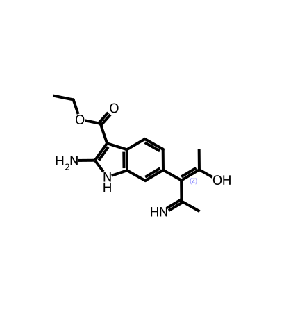 CCOC(=O)c1c(N)[nH]c2cc(/C(C(C)=N)=C(\C)O)ccc12